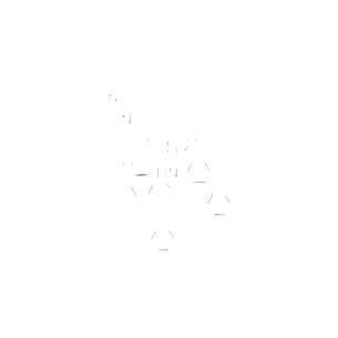 CN1CCN(CCCOc2ccc(OCc3ccccc3)c(C(=O)Nc3cc(-c4ccccc4)ccc3C(=O)OC(C)(C)C)c2)CC1